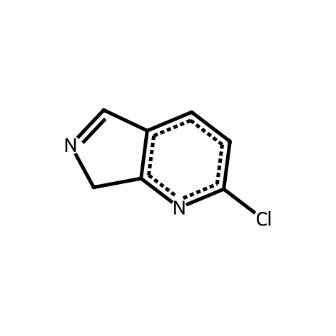 Clc1ccc2c(n1)CN=C2